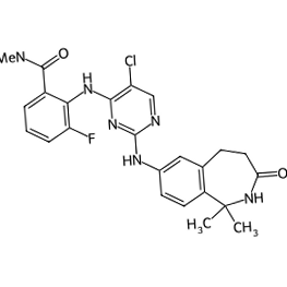 CNC(=O)c1cccc(F)c1Nc1nc(Nc2ccc3c(c2)CCC(=O)NC3(C)C)ncc1Cl